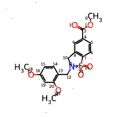 COC(=O)c1ccc2c(c1)CN(Cc1ccc(OC)cc1OC)S2(=O)=O